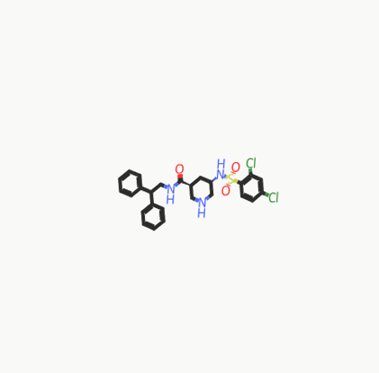 O=C(NCC(c1ccccc1)c1ccccc1)[C@@H]1CNC[C@H](NS(=O)(=O)c2ccc(Cl)cc2Cl)C1